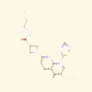 CCOCCNC(=O)C1CN(c2ccc3c(=O)c(C(=O)O)cn(-c4ncns4)c3n2)C1